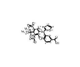 Cc1c(N(c2cccc(C(=O)O)c2)c2nccs2)c(C)c([N+](=O)[O-])c(C(C)(C)C)c1[N+](=O)[O-]